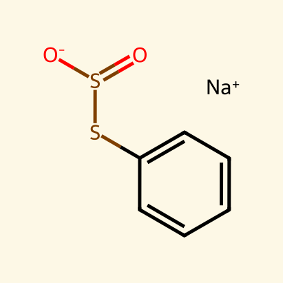 O=S([O-])Sc1ccccc1.[Na+]